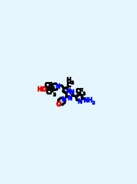 Cc1c(CN2CCC(C(O)(C(F)(F)F)C(F)(F)F)CC2)cc2c(N3CCOCC3)nc(-c3cnc(N)cc3C(F)(F)F)nn12